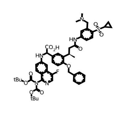 C[C@H](CC(=O)Nc1ccc(S(=O)(=O)C2CC2)c(CN(C)C)c1)c1cc(C(Nc2ccc3c(N(C(=O)OC(C)(C)C)C(=O)OC(C)(C)C)ncc(F)c3c2)C(=O)O)ccc1OCc1ccccc1